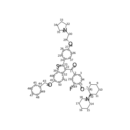 O=C(c1ccc(O[C@@H]2CCCC[C@H]2N2CCCCC2)c(F)c1)c1c(-c2ccc(OCCN3CCCC3)cc2)sc2cc(OCc3ccccc3)ccc12